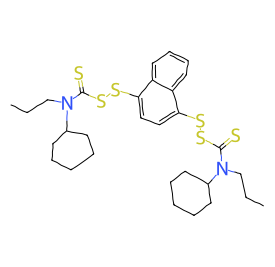 CCCN(C(=S)SSc1ccc(SSC(=S)N(CCC)C2CCCCC2)c2ccccc12)C1CCCCC1